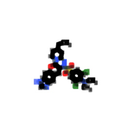 CCC1CCN(C(=O)C(Cc2ccc3[nH]cnc3c2)NS(=O)(=O)c2cc(Cl)c(N(C)C)c(Cl)c2)CC1